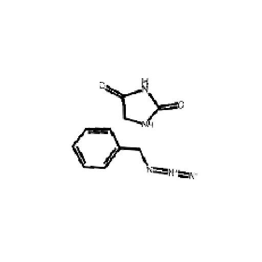 O=C1CNC(=O)N1.[N-]=[N+]=NCc1ccccc1